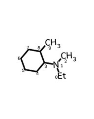 CCN(C)C1CCCCC1C